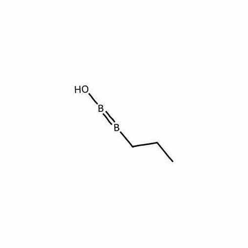 CCCB=BO